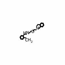 C=Cc1ccccc1CCNCCOCC[N+]1=Cc2ccccc2CC1